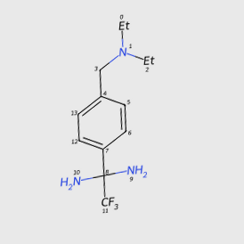 CCN(CC)Cc1ccc(C(N)(N)C(F)(F)F)cc1